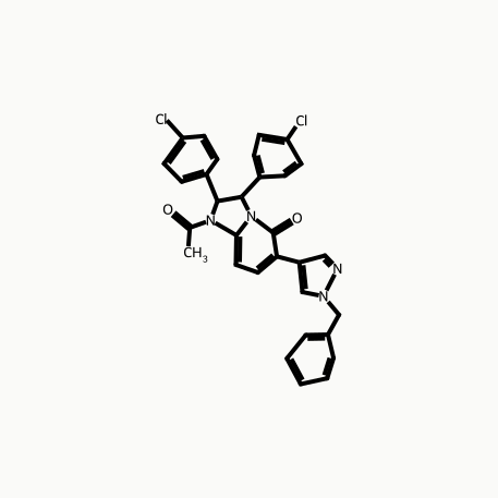 CC(=O)N1c2ccc(-c3cnn(Cc4ccccc4)c3)c(=O)n2C(c2ccc(Cl)cc2)C1c1ccc(Cl)cc1